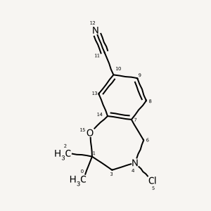 CC1(C)CN(Cl)Cc2ccc(C#N)cc2O1